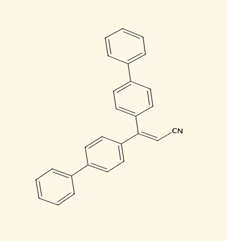 N#CC=C(c1ccc(-c2ccccc2)cc1)c1ccc(-c2ccccc2)cc1